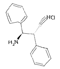 C#C[C@H](c1ccccc1)[C@@H](N)c1ccccc1.Cl